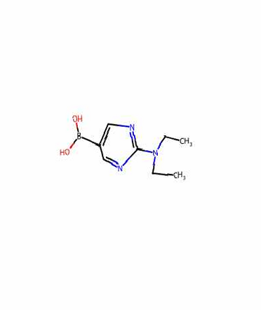 CCN(CC)c1ncc(B(O)O)cn1